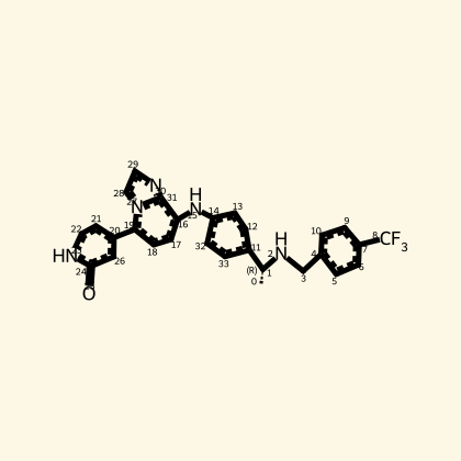 C[C@@H](NCc1ccc(C(F)(F)F)cc1)c1ccc(Nc2ccc(-c3cc[nH]c(=O)c3)n3ccnc23)cc1